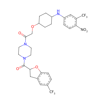 O=C(COC1CCC(Nc2ccc([N+](=O)[O-])c(C(F)(F)F)c2)CC1)N1CCN(C(=O)C2Cc3cc(C(F)(F)F)ccc3O2)CC1